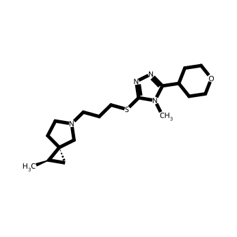 C[C@@H]1C[C@@]12CCN(CCCSc1nnc(C3CCOCC3)n1C)C2